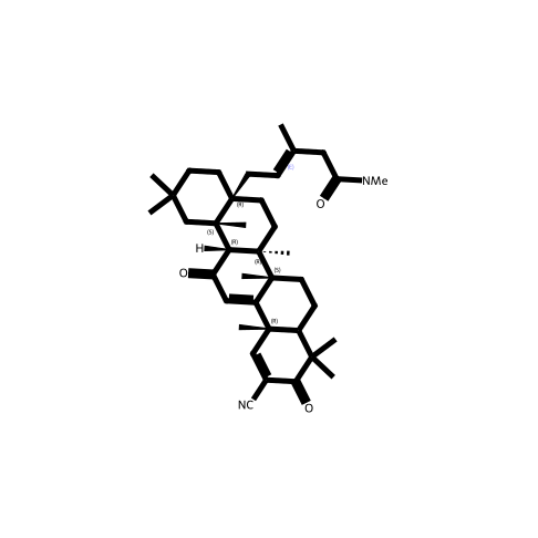 CNC(=O)C/C(C)=C/C[C@]12CCC(C)(C)C[C@@]1(C)[C@H]1C(=O)C=C3[C@@]4(C)C=C(C#N)C(=O)C(C)(C)C4CC[C@@]3(C)[C@]1(C)CC2